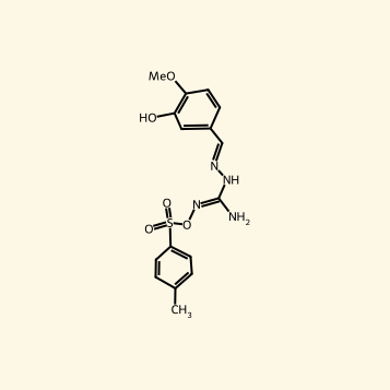 COc1ccc(C=NNC(N)=NOS(=O)(=O)c2ccc(C)cc2)cc1O